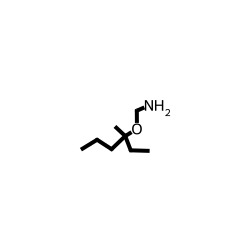 CCCC(C)(CC)OCN